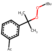 CC(=O)c1cccc(C(C)(C)OOC(C)(C)C)c1